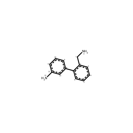 NCc1c[c]ccc1-c1cccc(N)c1